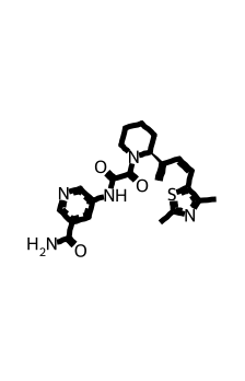 C=C(/C=C\c1sc(C)nc1C)[C@@H]1CCCCN1C(=O)C(=O)Nc1cncc(C(N)=O)c1